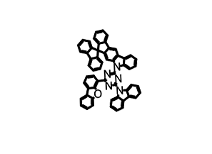 c1ccc2c(c1)-c1ccccc1C21c2ccccc2-c2cc3c4ccccc4n(-c4nc(-c5cccc6c5oc5ccccc56)nc(-n5c6ccccc6c6ccccc65)n4)c3cc21